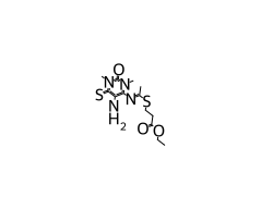 CCOC(=O)CCS/C(C)=N/c1c(N)c(=S)n(C)c(=O)n1C